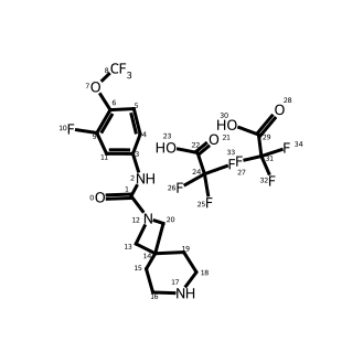 O=C(Nc1ccc(OC(F)(F)F)c(F)c1)N1CC2(CCNCC2)C1.O=C(O)C(F)(F)F.O=C(O)C(F)(F)F